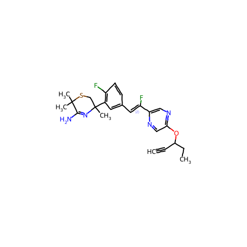 C#CC(CC)Oc1cnc(/C(F)=C/c2ccc(F)c(C3(C)CSC(C)(C)C(N)=N3)c2)cn1